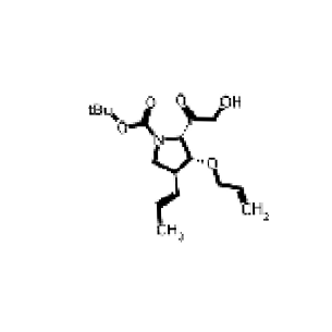 C=CCO[C@H]1[C@@H](C(=O)CO)N(C(=O)OC(C)(C)C)C[C@@H]1/C=C/C